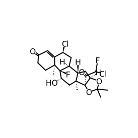 CC1(C)O[C@@H]2C[C@H]3[C@@H]4C[C@H](Cl)C5=CC(=O)CC[C@]5(C)[C@@]4(F)[C@@H](O)C[C@]3(C)[C@]2(C(=O)C(F)Cl)O1